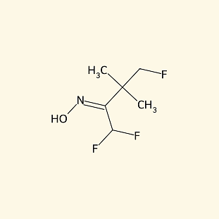 CC(C)(CF)C(=NO)C(F)F